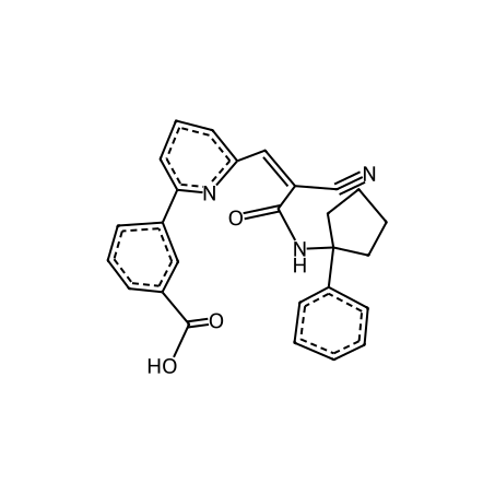 N#CC(=Cc1cccc(-c2cccc(C(=O)O)c2)n1)C(=O)NC1(c2ccccc2)CCCC1